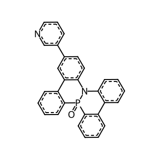 O=P12c3ccccc3-c3ccccc3N1c1ccc(-c3cccnc3)cc1-c1ccccc12